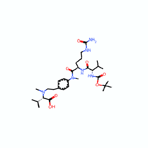 CC(C)[C@H](NC(=O)OC(C)(C)C)C(=O)NC(CCCNC(N)=O)C(=O)N(C)c1ccc(CCN(C)[C@H](C(=O)O)C(C)C)cc1